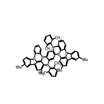 Cc1cccc(C)c1N1c2cc3c(cc2B2c4c1cccc4-n1c4ccc(C(C)(C)C)cc4c4cc(C(C)(C)C)cc2c41)N(c1c(C)cccc1C)c1c(C(C)(C)C)cc2c4cc(C(C)(C)C)ccc4n4c2c1B3c1ccccc1-4